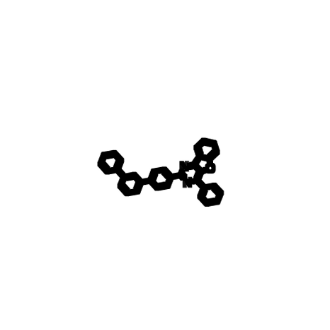 c1ccc(-c2cccc(-c3ccc(-c4nc(-c5ccccc5)c5oc6ccccc6c5n4)cc3)c2)cc1